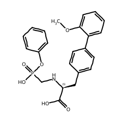 COc1ccccc1-c1ccc(C[C@H](NCP(=O)(O)Oc2ccccc2)C(=O)O)cc1